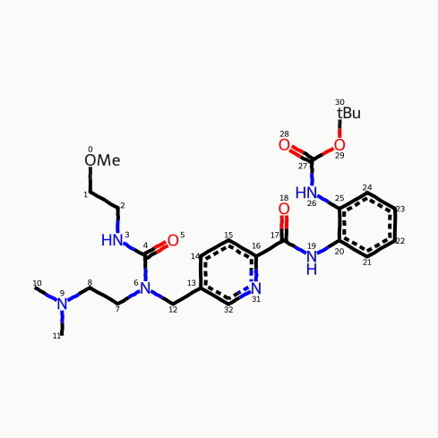 COCCNC(=O)N(CCN(C)C)Cc1ccc(C(=O)Nc2ccccc2NC(=O)OC(C)(C)C)nc1